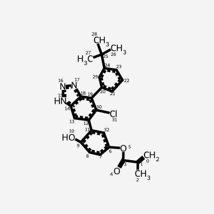 C=C(C)C(=O)Oc1ccc(O)c(-c2cc3[nH]nnc3c(-c3cccc(C(C)(C)C)c3)c2Cl)c1